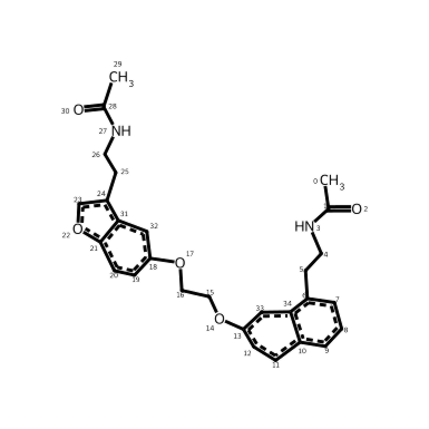 CC(=O)NCCc1cccc2ccc(OCCOc3ccc4occ(CCNC(C)=O)c4c3)cc12